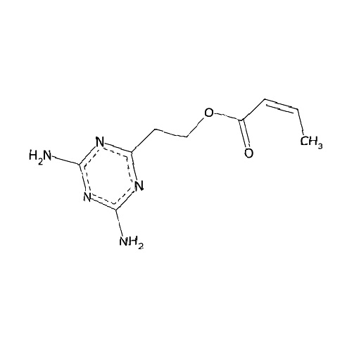 C/C=C\C(=O)OCCc1nc(N)nc(N)n1